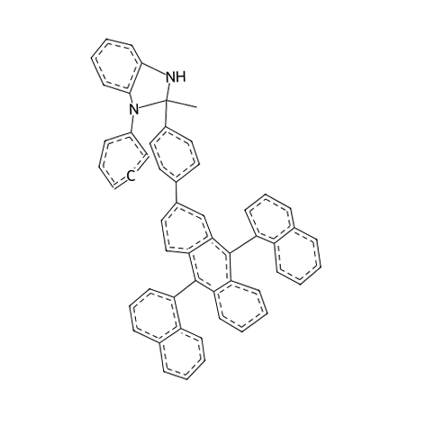 CC1(c2ccc(-c3ccc4c(-c5cccc6ccccc56)c5ccccc5c(-c5cccc6ccccc56)c4c3)cc2)Nc2ccccc2N1c1ccccc1